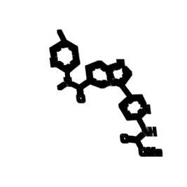 COC(=O)Nc1ccc(-c2cnc3ccc(C(=O)N(C)c4ccc(C)cn4)cn23)cn1